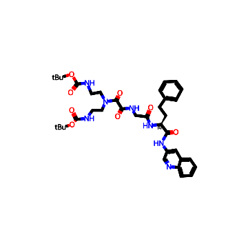 CC(C)(C)OC(=O)NCCN(CCNC(=O)OC(C)(C)C)C(=O)C(=O)NCC(=O)N[C@@H](CCc1ccccc1)C(=O)Nc1cnc2ccccc2c1